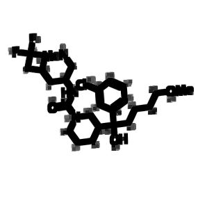 CNCC(CC1CC(F)(F)C1)NC(=O)N1CCCC(C(O)(CCCCOC)c2cccc(Cl)c2)C1